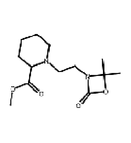 COC(=O)C1CCCCN1CCN1C(=O)OC1(C)C